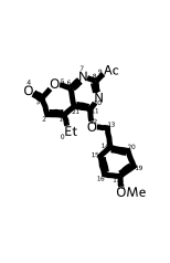 CCc1cc(=O)oc2nc(C(C)=O)nc(OCc3ccc(OC)cc3)c12